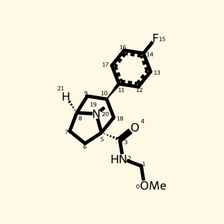 COCNC(=O)[C@@]12CC[C@@H](C[C@@H](c3ccc(F)cc3)C1)N2C